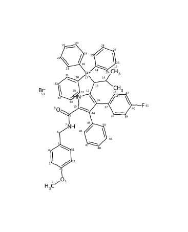 COc1ccc(CNC(=O)c2[nH]c(C(C(C)C)[P+](c3ccccc3)(c3ccccc3)c3ccccc3)c(-c3ccc(F)cc3)c2-c2ccccc2)cc1.[Br-]